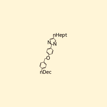 CCCCCCCCCCc1ccc(COc2ccc(-c3ncc(CCCCCCC)cn3)cc2)cc1